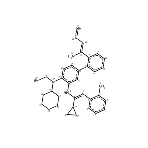 Cc1ccccc1/N=C(/Nc1cc(-c2ccccc2/C(N)=N/N=N)ccc1N(CC(C)C)C1CCCCC1)C1CC1